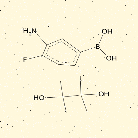 CC(C)(O)C(C)(C)O.Nc1cc(B(O)O)ccc1F